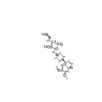 COc1cc2nccc(N3CCN(Cc4cc(Cl)cc(C=NO)c4O)CC3)c2cc1OC